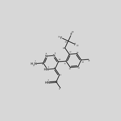 CC(=N)/C=C1\NC(N)=NN=C1c1ccc(C)cc1CC(F)(F)F